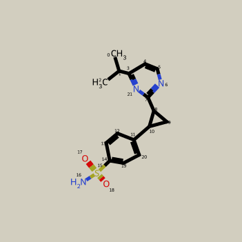 CC(C)c1ccnc(C2CC2c2ccc(S(N)(=O)=O)cc2)n1